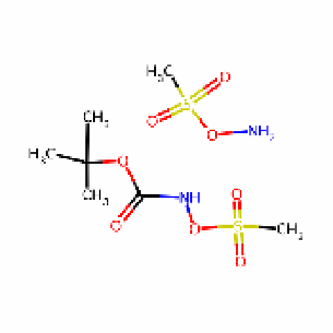 CC(C)(C)OC(=O)NOS(C)(=O)=O.CS(=O)(=O)ON